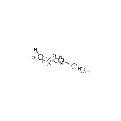 CC1(C)[C@H](Oc2ccc(C#N)c(Cl)c2)C(C)(C)[C@H]1N1Cc2nc(C#C[C@H]3CC[C@H](N4CCNCC4)CC3)cnc2C1=O